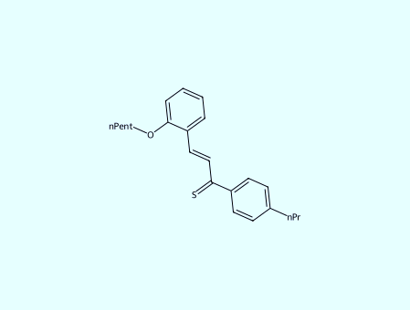 CCCCCOc1ccccc1C=CC(=S)c1ccc(CCC)cc1